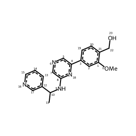 COc1cc(-c2cncc(NC(C)c3cccnc3)n2)ccc1CO